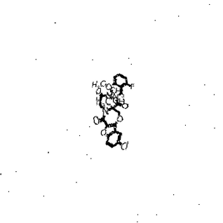 COc1cccc(F)c1CNC(=O)[C@]1(C)COc2c(oc3ccc(Cl)cc23)C(=O)N1CC(=O)N(C)C